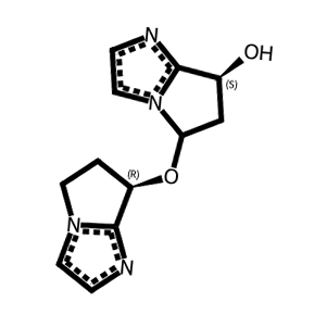 O[C@H]1CC(O[C@@H]2CCn3ccnc32)n2ccnc21